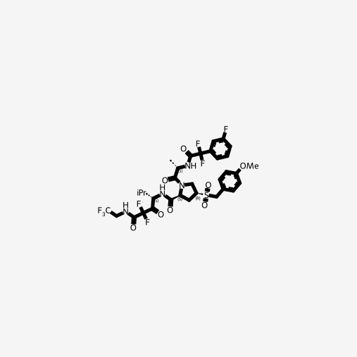 COc1ccc(CS(=O)(=O)[C@@H]2C[C@@H](C(=O)N[C@H](C(=O)C(F)(F)C(=O)NCC(F)(F)F)C(C)C)N(C(=O)[C@H](C)NC(=O)C(F)(F)c3cccc(F)c3)C2)cc1